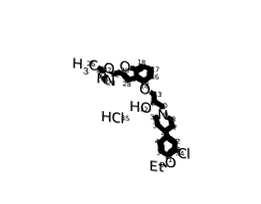 CCOc1ccc(C2CCN(C[C@H](O)COc3cccc4oc(-c5nnc(C)o5)cc34)CC2)cc1Cl.Cl